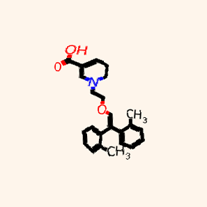 Cc1ccccc1C(=COCCN1CCC=C(C(=O)O)C1)c1ccccc1C